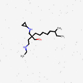 CCNCCC(CO)(CCCCCC(C)CC)CNC1CC1